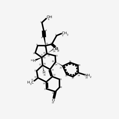 CCC(=O)[C@@]1(C#CCO)CC[C@H]2[C@@H]3CC(C)C4=CC(=O)CCC4=C3[C@@H](c3ccc(N)cc3)C[C@@]21C